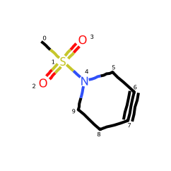 CS(=O)(=O)N1CC#CCC1